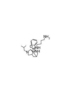 CC(C)CN1CC2CC3CNC2(C(=O)NCCCCN)C1C3Cc1ccccc1